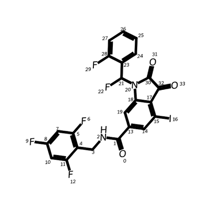 O=C(NCc1c(F)cc(F)cc1F)c1cc(I)c2c(c1)N(C(F)c1ccccc1F)C(=O)C2=O